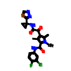 CCCn1c(C)c(C(=O)C(=O)NC2(c3nncs3)CC2)c(C)c1C(=O)Nc1ccc(F)c(Cl)c1